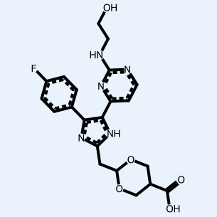 O=C(O)C1COC(Cc2nc(-c3ccc(F)cc3)c(-c3ccnc(NCCO)n3)[nH]2)OC1